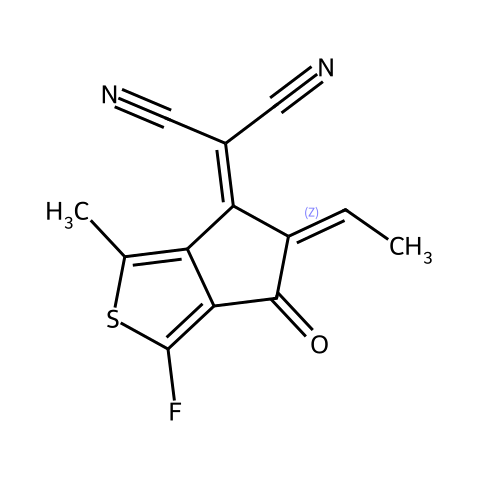 C/C=C1\C(=O)c2c(F)sc(C)c2C1=C(C#N)C#N